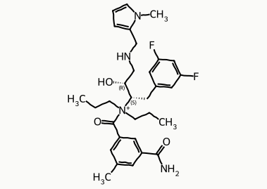 CCC[N+](CCC)(C(=O)c1cc(C)cc(C(N)=O)c1)[C@@H](Cc1cc(F)cc(F)c1)[C@H](O)CNCc1cccn1C